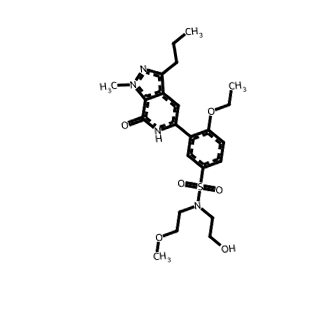 CCCc1nn(C)c2c(=O)[nH]c(-c3cc(S(=O)(=O)N(CCO)CCOC)ccc3OCC)cc12